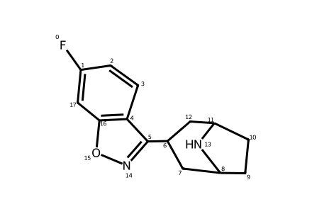 Fc1ccc2c(C3CC4CCC(C3)N4)noc2c1